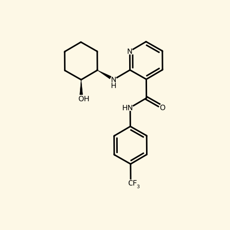 O=C(Nc1ccc(C(F)(F)F)cc1)c1cccnc1N[C@@H]1CCCC[C@@H]1O